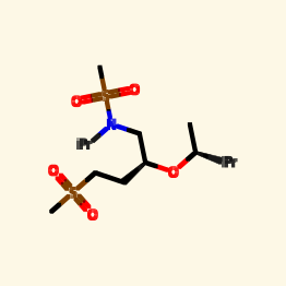 CC(C)[C@H](C)O[C@@H](CCS(C)(=O)=O)CN(C(C)C)S(C)(=O)=O